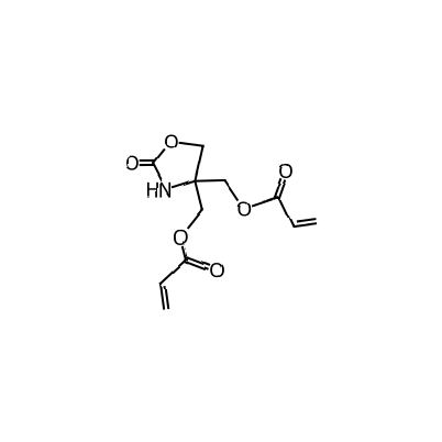 C=CC(=O)OCC1(COC(=O)C=C)COC(=O)N1